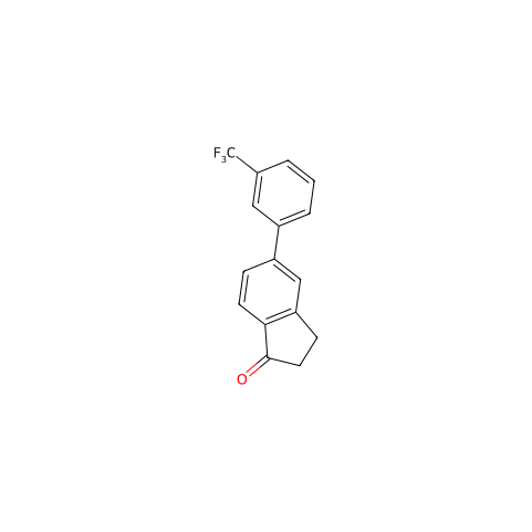 O=C1CCc2cc(-c3cccc(C(F)(F)F)c3)ccc21